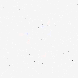 CC(C)C1C(=O)Nc2cc(C(=O)NO)ccc2N1Cc1ccc(O)cc1